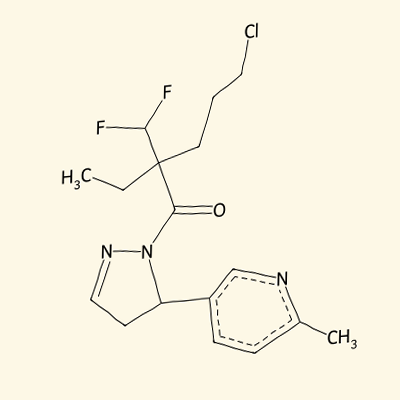 CCC(CCCCl)(C(=O)N1N=CCC1c1ccc(C)nc1)C(F)F